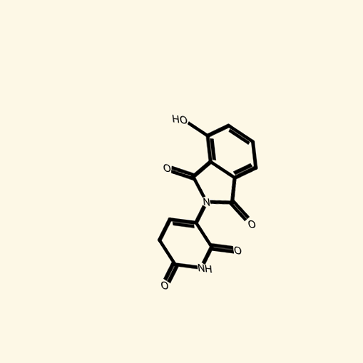 O=C1CC=C(N2C(=O)c3cccc(O)c3C2=O)C(=O)N1